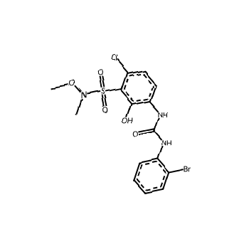 CON(C)S(=O)(=O)c1c(Cl)ccc(NC(=O)Nc2ccccc2Br)c1O